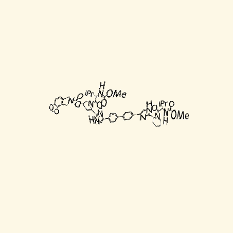 COC(=O)N[C@H](C(=O)N1C[C@@H](OC(=O)N2Cc3ccc4c(c3C2)OCO4)CC1c1nc(-c2ccc(-c3ccc(-c4c[nH]c([C@@H]5CCCCN5C(=O)[C@@H](NC(=O)OC)C(C)C)n4)cc3)cc2)c[nH]1)C(C)C